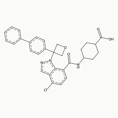 O=C(NC1CCC(C(=O)O)CC1)c1ccc(Cl)c2cnn(C3(c4ccc(-c5ccccc5)cc4)COC3)c12